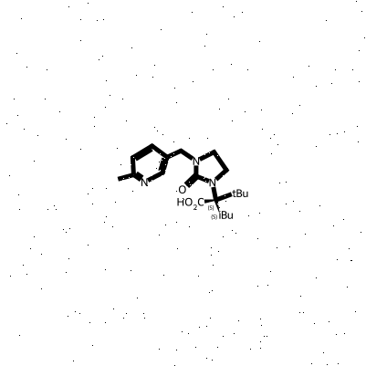 CC[C@H](C)[C@](C(=O)O)(N1CCN(Cc2ccc(C)nc2)C1=O)C(C)(C)C